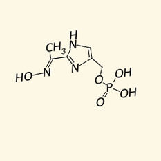 CC(=NO)c1nc(COP(=O)(O)O)c[nH]1